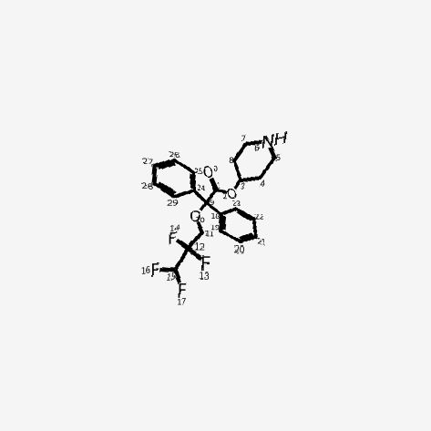 O=C(OC1CCNCC1)C(OCC(F)(F)C(F)F)(c1ccccc1)c1ccccc1